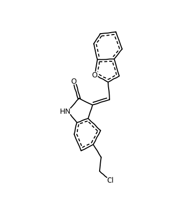 O=C1Nc2ccc(CCCl)cc2C1=Cc1cc2ccccc2o1